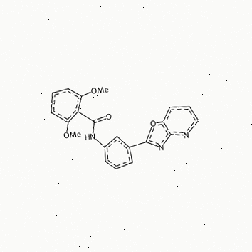 COc1cccc(OC)c1C(=O)Nc1cccc(-c2nc3ncccc3o2)c1